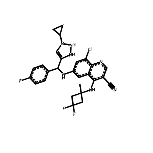 CC1(Nc2c(C#N)cnc3c(Cl)cc(NC(C4=CN(C5CC5)NN4)c4ccc(F)cc4)cc23)CC(F)(F)C1